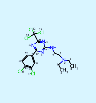 CCN(CC)CCNc1nc(-c2ccc(Cl)c(Cl)c2)nc(C(Cl)(Cl)Cl)n1